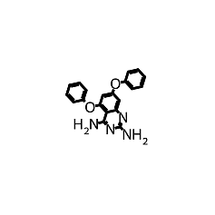 Nc1nc(N)c2c(Oc3ccccc3)cc(Oc3ccccc3)cc2n1